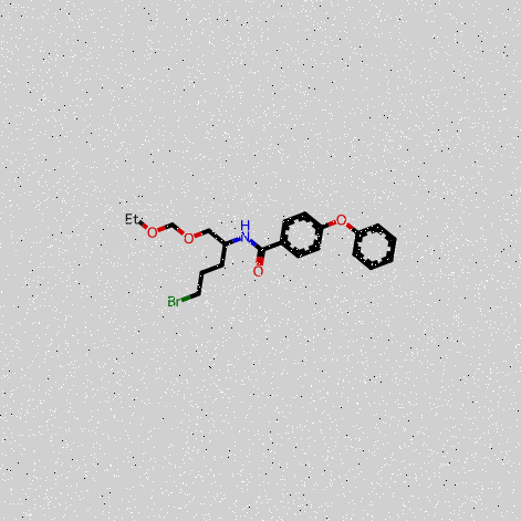 CCOCOCC(CCCBr)NC(=O)c1ccc(Oc2ccccc2)cc1